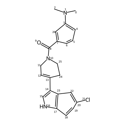 CN(C)c1cccc(C(=O)N2CC=C(c3c[nH]c4ccc(Cl)cc34)CC2)c1